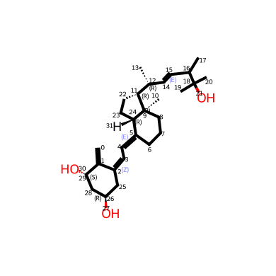 C=C1/C(=C\C=C2/CCC[C@]3(C)[C@@H]([C@H](C)/C=C/C(C)C(C)(C)O)CC[C@@H]23)C[C@@H](O)C[C@@H]1O